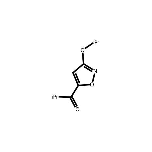 CC(C)Oc1cc(C(=O)C(C)C)on1